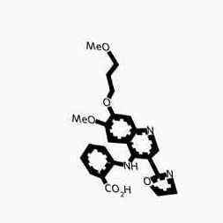 COCCCOc1cc2ncc(-c3ncco3)c(Nc3ccccc3C(=O)O)c2cc1OC